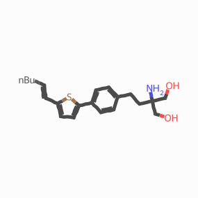 CCCCC=Cc1ccc(-c2ccc(CCC(N)(CO)CO)cc2)s1